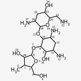 CC1C(CO)OC(OC2C(O)C(N)CC(N)C2OC2OC(CN)C(O)CC2N)C1O